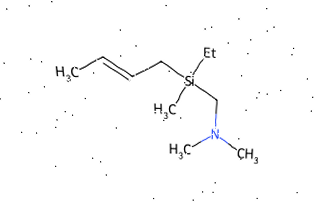 CC=CC[Si](C)(CC)CN(C)C